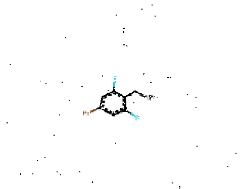 C[C](C)Cc1c(F)cc(Br)cc1F